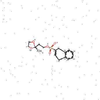 CC1(CCOS(=O)(=O)C2=CCc3ccccc3C2)OCCO1